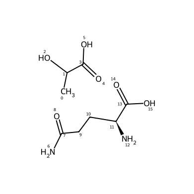 CC(O)C(=O)O.NC(=O)CC[C@H](N)C(=O)O